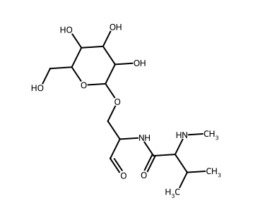 CNC(C(=O)NC(C=O)COC1OC(CO)C(O)C(O)C1O)C(C)C